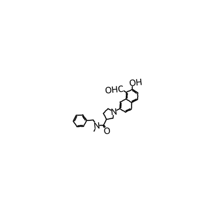 CN(Cc1ccccc1)C(=O)C1CCN(c2ccc3ccc(O)c(C=O)c3c2)C1